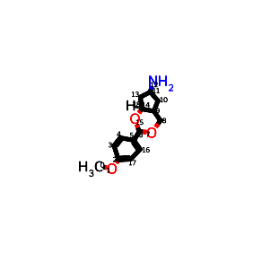 COc1ccc(C2OCC3CC(N)C[C@@H]3O2)cc1